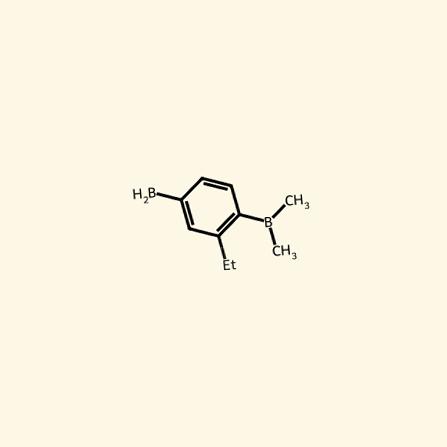 Bc1ccc(B(C)C)c(CC)c1